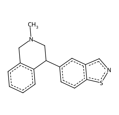 CN1Cc2ccccc2C(c2ccc3sncc3c2)C1